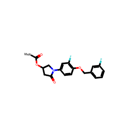 CNC(=O)OC1CC(=O)N(c2ccc(OCc3cccc(F)c3)c(F)c2)C1